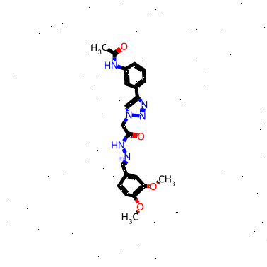 COc1ccc(/C=N/NC(=O)Cn2cc(-c3cccc(NC(C)=O)c3)nn2)cc1OC